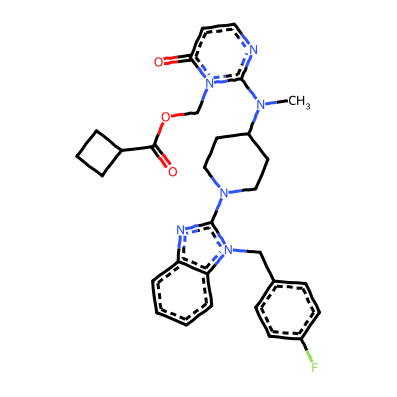 CN(c1nccc(=O)n1COC(=O)C1CCC1)C1CCN(c2nc3ccccc3n2Cc2ccc(F)cc2)CC1